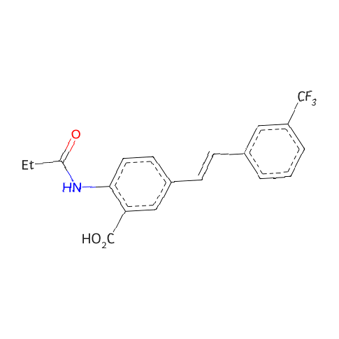 CCC(=O)Nc1ccc(/C=C/c2cccc(C(F)(F)F)c2)cc1C(=O)O